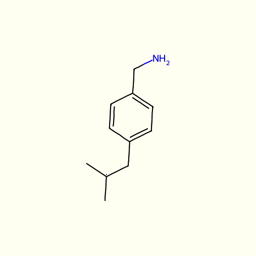 C[C](C)Cc1ccc(CN)cc1